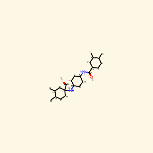 CC1CCC(C(=O)NC2CCC(NC3(C=O)CCC(C)C(C)C3)CC2)CC1C